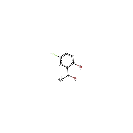 CC(Br)c1cc(F)ccc1Br